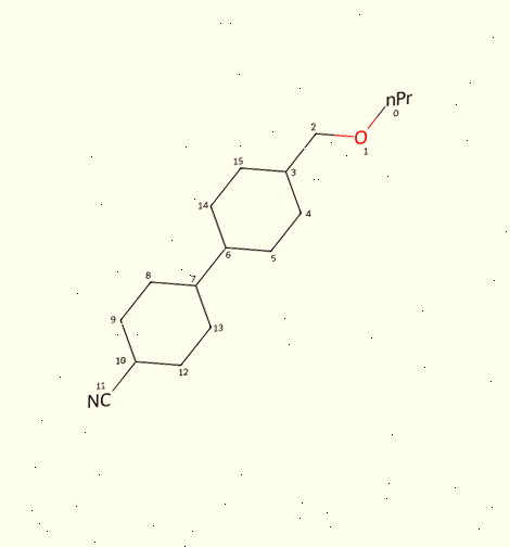 CCCOCC1CCC(C2CCC(C#N)CC2)CC1